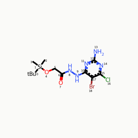 CC(C)(C)[Si](C)(C)OCC(=O)NNc1nc(N)nc(Cl)c1Br